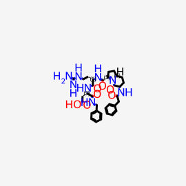 N=C(N)NCC[C@H](NC(=O)[C@@H]1CC[C@@H]2CCC(NC(=O)Cc3ccccc3)C(=O)N21)C(=O)N[C@@H](CC(=O)O)C(=O)NCc1ccccc1